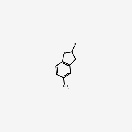 Nc1ccc2c(c1)CC(F)O2